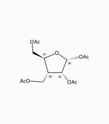 CC(=O)OC[C@H]1[C@@H](OC(C)=O)[C@@H](OC(C)=O)O[C@@H]1COC(C)=O